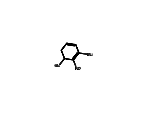 CC(C)(C)C1=C(N=O)C(C(C)(C)C)CC=C1